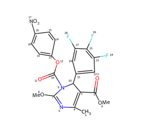 COC(=O)C1=C(C)N=C(OC)N(C(=O)Oc2ccc([N+](=O)[O-])cc2)C1c1cc(F)c(F)c(F)c1